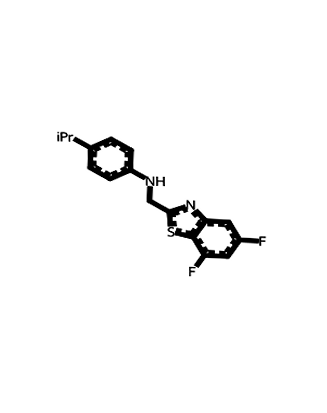 CC(C)c1ccc(NCc2nc3cc(F)cc(F)c3s2)cc1